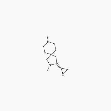 CN1CCC2(CC1)C/C(=C1\CO1)N(C)C2